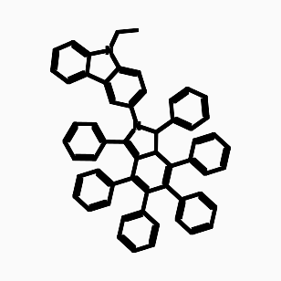 CCn1c2ccccc2c2cc(N3C(c4ccccc4)=C4C(c5ccccc5)=C(c5ccccc5)C(c5ccccc5)=C(c5ccccc5)C4C3c3ccccc3)ccc21